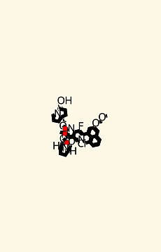 COCOc1cc(-c2ncc3c(N4C[C@H]5CC[C@@H](C4)N5C(=O)OC(C)(C)C)nc(OC[C@]45CCCN4[C@H](CO)CC5)nc3c2F)c2c(Cl)cccc2c1